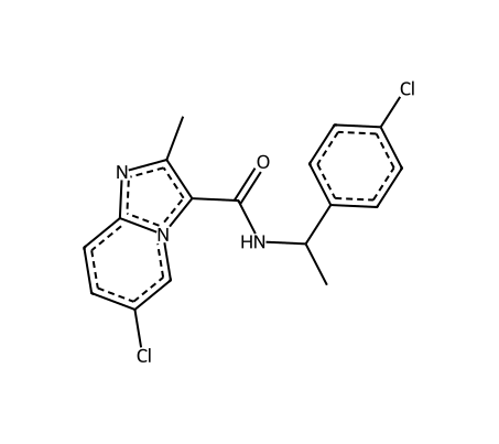 Cc1nc2ccc(Cl)cn2c1C(=O)NC(C)c1ccc(Cl)cc1